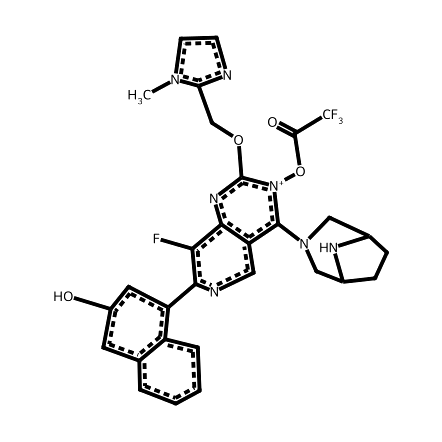 Cn1ccnc1COc1nc2c(F)c(-c3cc(O)cc4ccccc34)ncc2c(N2CC3CCC(C2)N3)[n+]1OC(=O)C(F)(F)F